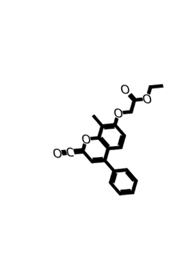 CCOC(=O)COc1ccc2c(c1C)OC(=C=O)C=C2c1ccccc1